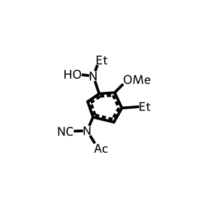 CCc1cc(N(C#N)C(C)=O)cc(N(O)CC)c1OC